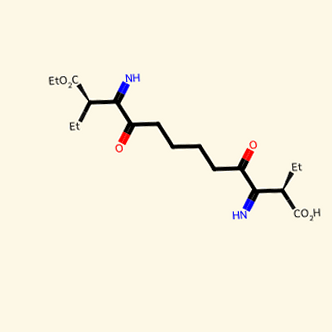 CCOC(=O)[C@H](CC)C(=N)C(=O)CCCCC(=O)C(=N)[C@@H](CC)C(=O)O